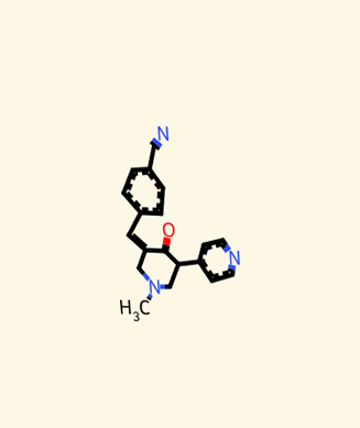 CN1CC(=Cc2ccc(C#N)cc2)C(=O)C(c2ccncc2)C1